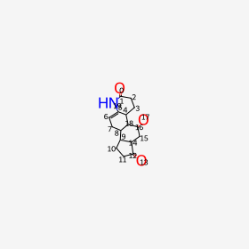 O=C1CCC2C(=CCC3C4CCC(=O)C4CC(=O)C23)N1